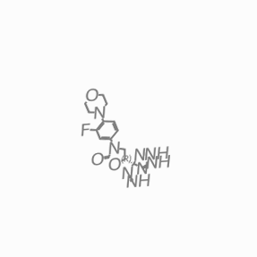 N=NC(N=N)(N=N)[C@H]1CN(c2ccc(N3CCOCC3)c(F)c2)C(=O)O1